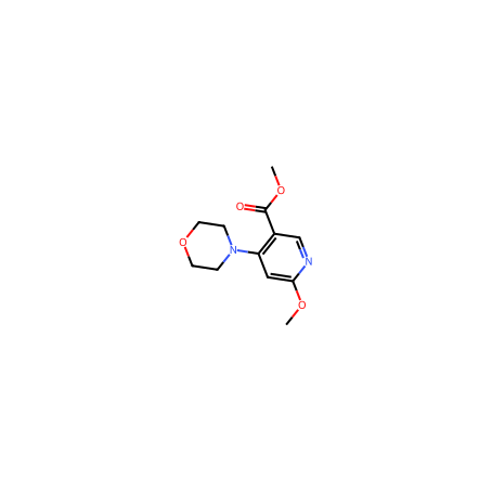 COC(=O)c1cnc(OC)cc1N1CCOCC1